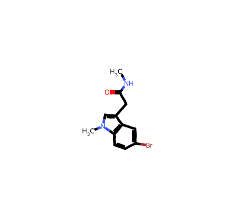 CNC(=O)Cc1cn(C)c2ccc(Br)cc12